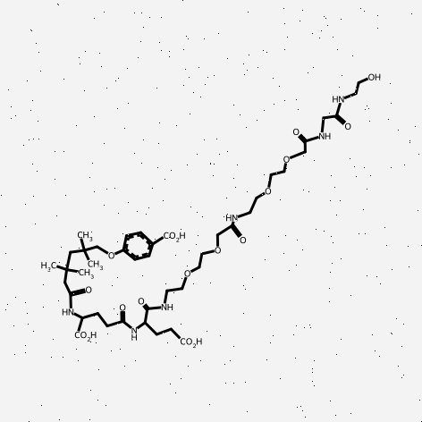 CC(C)(COc1ccc(C(=O)O)cc1)CC(C)(C)CC(=O)NC(CCC(=O)NC(CCC(=O)O)C(=O)NCCOCCOCC(=O)NCCOCCOCC(=O)NCC(=O)NCCO)C(=O)O